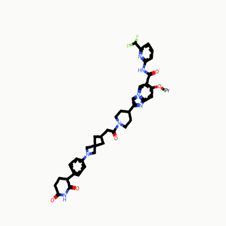 CC(C)Oc1cc2nc(C3CCN(C(=O)CC4CC5(C4)CN(c4ccc(C6CCC(=O)NC6=O)cc4)C5)CC3)cn2cc1C(=O)Nc1cccc(C(F)F)n1